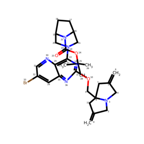 C=C1CN2CC(=C)CC2(COc2nc(N3CC4CCC(C3)N4C(=O)OC(C)(C)C)c3ncc(Br)cc3n2)C1